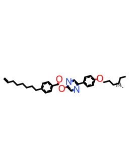 C=CCCCCCCc1ccc(C(=O)Oc2cnc(-c3ccc(OCCC[C@@H](C)CC)cc3)cn2)cc1